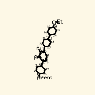 CCCCCC1CCC(c2ccc(C3CCC(C4CCC(OCC)CC4)CC3)c(F)c2F)CC1